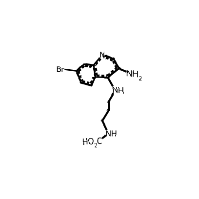 Nc1cnc2cc(Br)ccc2c1NCCCNC(=O)O